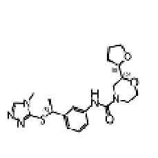 C[C@H](Sc1nncn1C)c1cccc(NC(=O)N2CCO[C@H]([C@H]3CCCO3)C2)c1